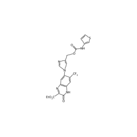 CCOC(=O)c1nc2cc(-n3cnc(COC(=O)Nc4ccsc4)c3)c(C(F)(F)F)cc2[nH]c1=O